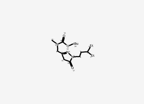 CCC(CC)CCN1N=C(CN(C)C(=O)OC(C)(C)C)CC1=O